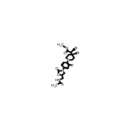 CCOC(=O)C(C#N)C1(C#N)CCN(c2ccc(N3CC(CNC(C)=S)OC3=O)cc2F)CC1